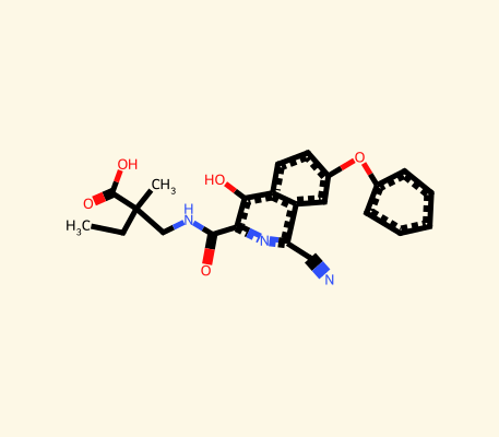 CCC(C)(CNC(=O)c1nc(C#N)c2cc(Oc3ccccc3)ccc2c1O)C(=O)O